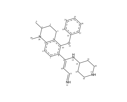 CC1CCc2c(ccc(/C(=C/C=N)NC3CCNCC3)c2Oc2ccccc2)N1C